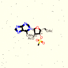 COc1c2ncnc-2ncn1[C@@H]1O[C@H](COC(C)=O)[C@H](OS(C)(=O)=O)[C@H]1OC(C)=O